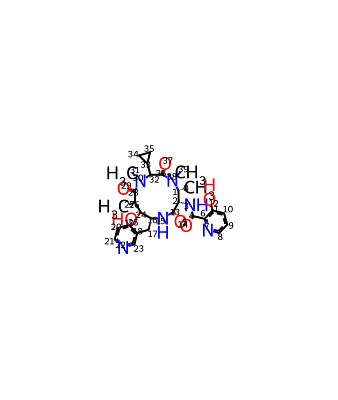 C[C@@H]1[C@H](NC(=O)c2ncccc2O)C(=O)N[C@@H](Cc2cccnc2)[C@@H](O)[C@@H](C)C(=O)N(C)C(C2CC2)C(=O)N1C